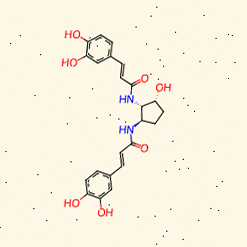 O=C(C=Cc1ccc(O)c(O)c1)N[C@@H]1[C@H](O)CC[C@H]1NC(=O)C=Cc1ccc(O)c(O)c1